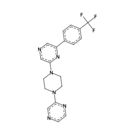 FC(F)(F)c1ccc(-c2cncc(N3CCN(c4cnccn4)CC3)n2)cc1